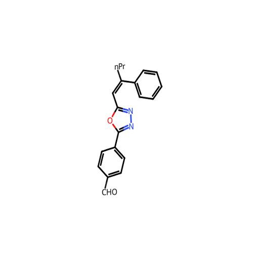 CCCC(=Cc1nnc(-c2ccc(C=O)cc2)o1)c1ccccc1